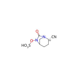 N#C[C@@H]1CCC2CN1C(=O)N2OS(=O)(=O)O